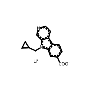 O=C([O-])c1ccc2c3ccncc3n(CC3CC3)c2c1.[Li+]